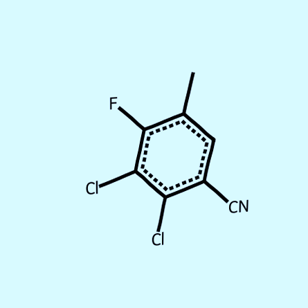 Cc1cc(C#N)c(Cl)c(Cl)c1F